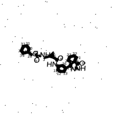 O=C(NCC1CC1C(=O)Nc1cccc(-c2n[nH]c(=O)c3ccccc23)c1)OCc1ccccc1